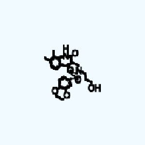 Cc1ccc2cc(CN(CCCO)S(=O)(=O)c3ccc4c(c3)OCCO4)c(=O)[nH]c2c1C